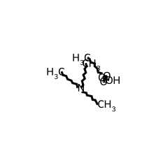 CCCCCCCCN(CCCCCCCC)CCCCCCCC.CCCCCCCCOS(=O)(=O)O